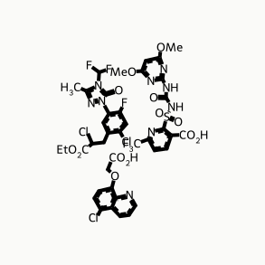 CCOC(=O)C(Cl)Cc1cc(-n2nc(C)n(C(F)F)c2=O)c(F)cc1Cl.COc1cc(OC)nc(NC(=O)NS(=O)(=O)c2nc(C(F)(F)F)ccc2C(=O)O)n1.O=C(O)COc1ccc(Cl)c2cccnc12